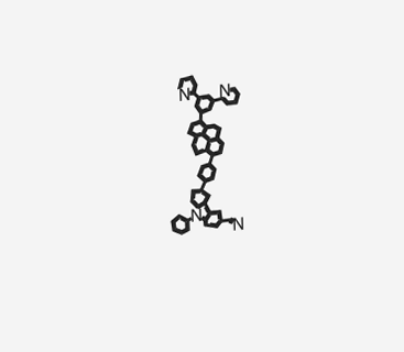 N#Cc1ccc2c(c1)c1cc(-c3ccc(-c4ccc5ccc6c(-c7cc(-c8ccccn8)cc(-c8ccccn8)c7)ccc7ccc4c5c76)cc3)ccc1n2-c1ccccc1